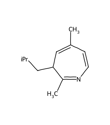 CC1=CC(CC(C)C)C(C)=NC=C1